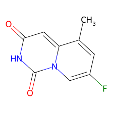 Cc1cc(F)cn2c(=O)[nH]c(=O)cc12